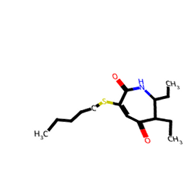 CCCCCSC1=CC(=O)C(CC)C(CC)NC1=O